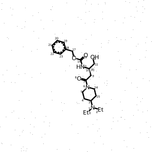 CCN(CC)C1CCN(C(=O)C[C@H](CO)NC(=O)OCc2ccccc2)CC1